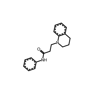 O=C(CCN1CCCc2ccccc21)Nc1ccccc1